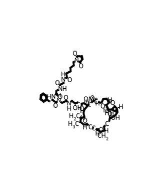 C=C1C[C@@H]2CC[C@@]3(O)CC[C@@H]4C[C@@H]5C4O[C@H]4CC[C@H](CC(=O)C[C@@H]6[C@@H](OC)[C@@H](C[C@H](O)CNC(=O)CNC(=O)[C@H](Cc7ccccc7)NC(=O)CNC(=O)CNC(=O)CCCCCN7C(=O)C=CC7=O)O[C@H]6C[C@H]6O[C@@H](CC[C@@H]1O2)C[C@@H](C)C6=C)O[C@@H]4[C@@H]5O3